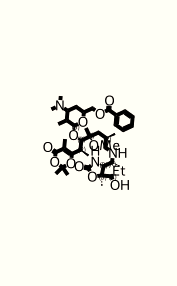 CC[C@@H](O)[C@@]1(C)OC(=O)N[C@@H]1[C@@H](C)NC[C@H](C)C[C@@](C)(OC)[C@H](O[C@@H]1OC(COC(=O)c2ccccc2)CC(N(C)C)C1C)[C@@H](C)C1=C(C)C(=O)OC(C)(C)O1